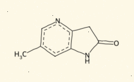 Cc1cnc2c(c1)NC(=O)C2